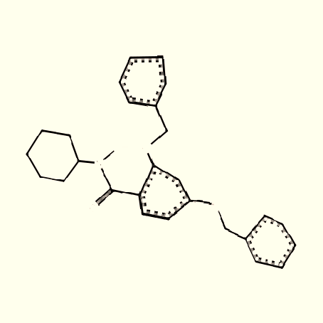 CN(C(=O)c1ccc(OCc2ccccc2)cc1OCc1ccccc1)C1CCCCC1